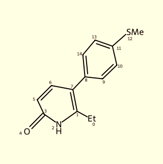 CCc1[nH]c(=O)ccc1-c1ccc(SC)cc1